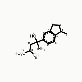 CC1CCc2cc(C(N)(O)CC(O)C(=O)O)ccc21